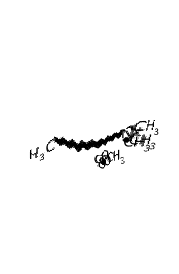 CCCCCCCCCCCCCCCCCC[N+](CC)(CC)CC.COS(=O)(=O)[O-]